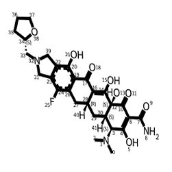 CN(C)[C@@H]1C(O)=C(C(N)=O)C(=O)[C@@]2(O)C(O)=C3C(=O)c4c(O)c5c(c(F)c4C[C@H]3C[C@@H]12)CN(C[C@@H]1CCCO1)C5